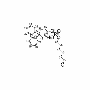 O=[C]CCCCCOP(=O)(O)OC1CCC(c2ccccc2)(c2ccccc2)CC1